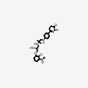 CC(C)(CNc1ccc(C2=NNC(=O)CC2)cc1)NC[C@H](O)COc1cccc([N+](=O)[O-])c1Cl